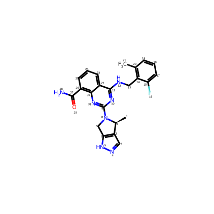 C[C@H]1c2cn[nH]c2CN1c1nc(NCc2c(F)cccc2C(F)(F)F)c2cccc(C(N)=O)c2n1